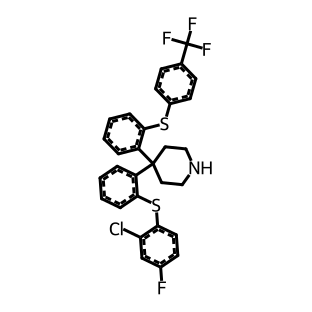 Fc1ccc(Sc2ccccc2C2(c3ccccc3Sc3ccc(C(F)(F)F)cc3)CCNCC2)c(Cl)c1